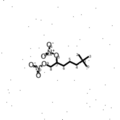 CC(C)(C)CCCC(CO[N+](=O)[O-])O[N+](=O)[O-]